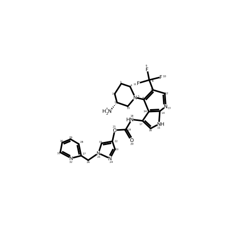 N[C@@H]1CCCN(c2c(C(F)(F)F)cnc3[nH]cc(NC(=O)Oc4cnn(Cc5ccccn5)c4)c23)C1